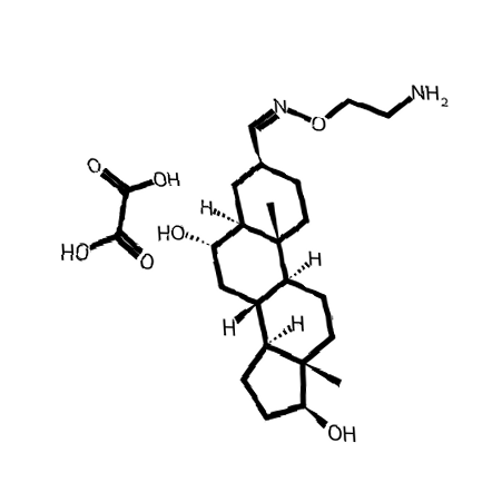 C[C@]12CC[C@H](/C=N\OCCN)C[C@@H]1[C@@H](O)C[C@@H]1[C@@H]2CC[C@]2(C)[C@@H](O)CC[C@@H]12.O=C(O)C(=O)O